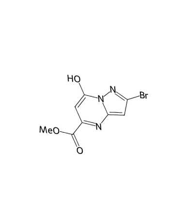 COC(=O)c1cc(O)n2nc(Br)cc2n1